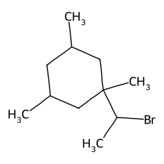 CC1CC(C)CC(C)(C(C)Br)C1